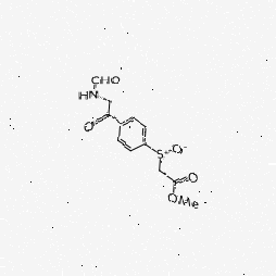 COC(=O)C[S+]([O-])c1ccc(C(=O)CNC=O)cc1